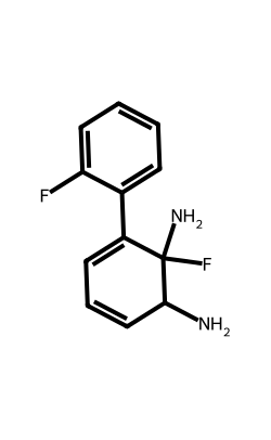 NC1C=CC=C(c2ccccc2F)C1(N)F